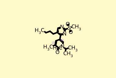 CCCCc1cnc(S(C)(=O)=O)nc1C(/C=C(/C)C=O)=C/N(C)C(C)C